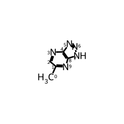 Cc1cnc2nn[nH]c2n1